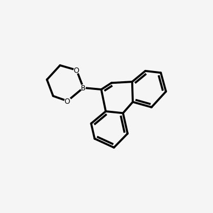 c1ccc2c(c1)cc(B1OCCCO1)c1ccccc12